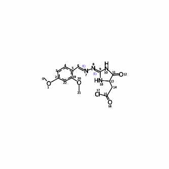 COc1ccc(/C=N/N=C2/NC(=O)C(CC(=O)Cl)N2)c(OC)c1